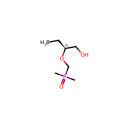 BC[C@@H](CO)OCP(C)(C)=O